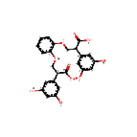 O=C(O)C(COc1ccccc1OCC(C(=O)O)c1cc(O)cc(O)c1)c1cc(O)cc(O)c1